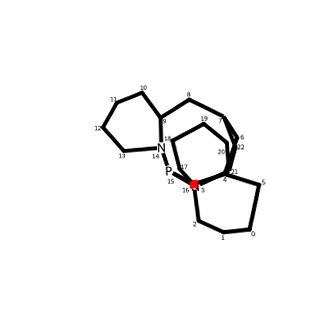 C1CCN2C(C1)CC1CC3CCCCN3P2N2CCCCC2C1